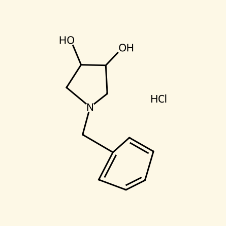 Cl.OC1CN(Cc2ccccc2)CC1O